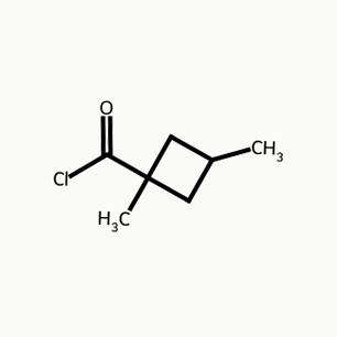 CC1CC(C)(C(=O)Cl)C1